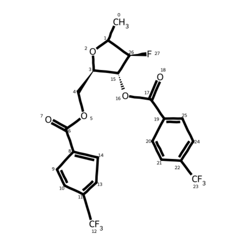 CC1O[C@H](COC(=O)c2ccc(C(F)(F)F)cc2)[C@@H](OC(=O)c2ccc(C(F)(F)F)cc2)[C@@H]1F